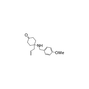 C=CCC1(NCc2ccc(OC)cc2)CCC(=O)CC1